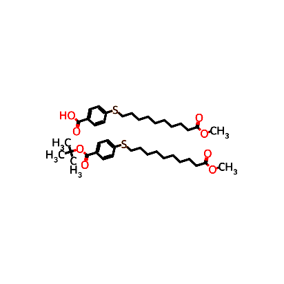 COC(=O)CCCCCCCCCSc1ccc(C(=O)O)cc1.COC(=O)CCCCCCCCCSc1ccc(C(=O)OC(C)(C)C)cc1